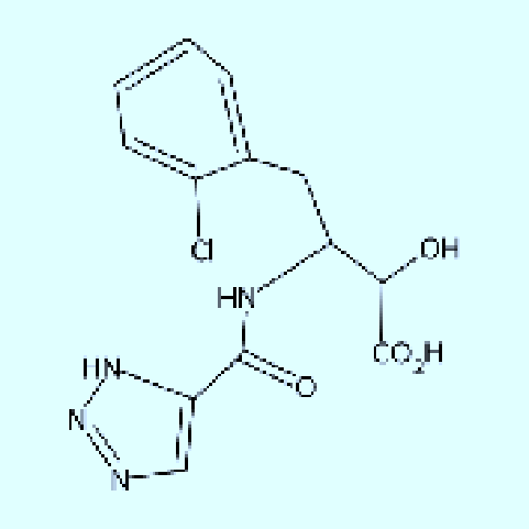 O=C(NC(Cc1ccccc1Cl)C(O)C(=O)O)c1cnn[nH]1